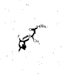 CNC(=O)/C=C(/C)Nc1ccc(I)cc1F